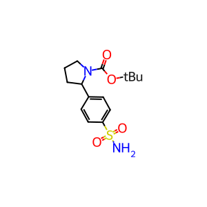 CC(C)(C)OC(=O)N1CCCC1c1ccc(S(N)(=O)=O)cc1